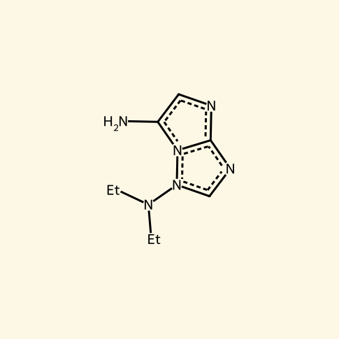 CCN(CC)n1cnc2ncc(N)n21